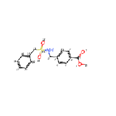 COC(=O)c1ccc(CNS(=O)(=O)Cc2ccccc2)cc1